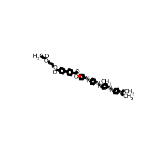 C=CC(=O)OCCCCOC(=O)C1CCC(C2CCC(C(=O)Oc3ccc(N=Nc4ccc(N=Nc5ccc(N=Nc6ccc(N(CC)CC)cc6)cc5C)cc4)cc3)CC2)CC1